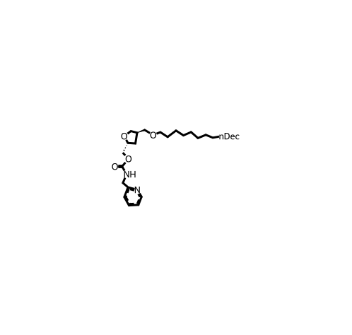 CCCCCCCCCCCCCCCCCCOC[C@@H]1CO[C@@H](COC(=O)NCc2ccccn2)C1